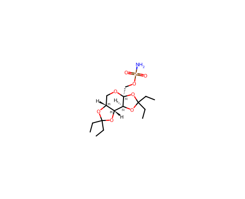 CCC1(CC)O[C@@H]2[C@@H](CO[C@@]3(COS(N)(=O)=O)OC(CC)(CC)O[C@@H]23)O1